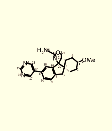 CO[C@H]1CC[C@]2(CC1)Cc1ccc(-c3cncnc3)cc1C21CCOC(N)=N1